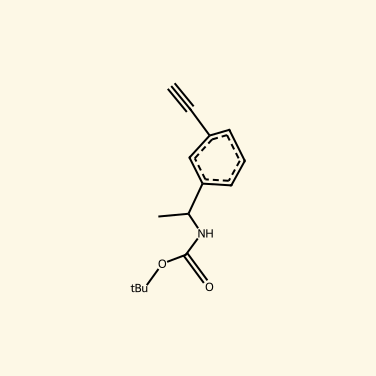 C#Cc1cccc(C(C)NC(=O)OC(C)(C)C)c1